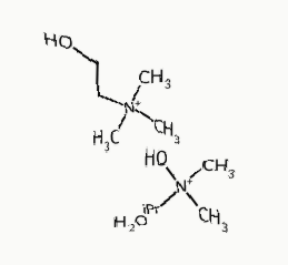 CC(C)[N+](C)(C)O.C[N+](C)(C)CCO.O